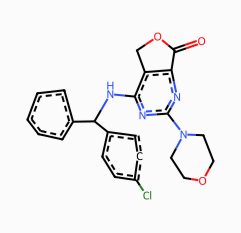 O=C1OCc2c(NC(c3ccccc3)c3ccc(Cl)cc3)nc(N3CCOCC3)nc21